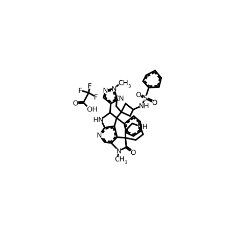 CN1C(=O)C2(CCNCC2)c2c1cnc1c2C(c2ccccc2)(C2(CC#N)CC(NS(=O)(=O)c3ccccc3)C2)C(c2cnn(C)c2)N1.O=C(O)C(F)(F)F